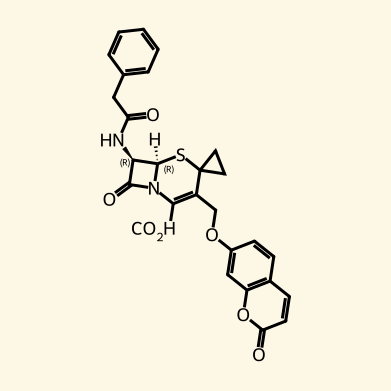 O=C(Cc1ccccc1)N[C@@H]1C(=O)N2C(C(=O)O)=C(COc3ccc4ccc(=O)oc4c3)C3(CC3)S[C@H]12